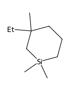 CCC1(C)CCC[Si](C)(C)C1